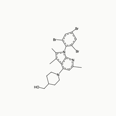 Cc1cc(N2CCC(CO)CC2)c2c(C)c(C)n(-c3c(Br)cc(Br)cc3Br)c2n1